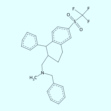 CN(Cc1ccccc1)CC1CCc2cc(S(=O)(=O)C(F)(F)F)ccc2C1c1ccccc1